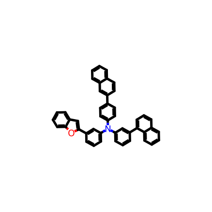 c1cc(-c2cc3ccccc3o2)cc(N(c2ccc(-c3ccc4ccccc4c3)cc2)c2cccc(-c3cccc4ccccc34)c2)c1